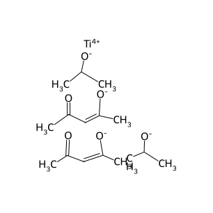 CC(=O)C=C(C)[O-].CC(=O)C=C(C)[O-].CC(C)[O-].CC(C)[O-].[Ti+4]